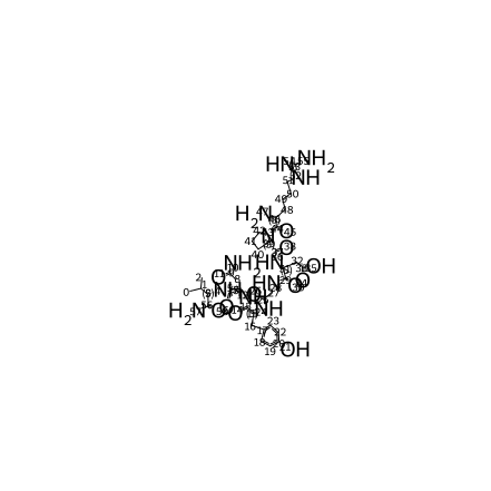 CC(C)[C@H](NC(=O)[C@H](CC(N)=O)NC(=O)[C@H](Cc1ccc(O)cc1)NC(=O)CNC(=O)[C@H](CC(=O)O)NC(=O)[C@@H]1CCCN1C(=O)[C@@H](N)CCCCNC(=N)N)C(N)=O